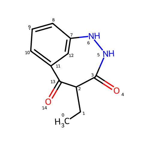 CCC1C(=O)NNc2c[c]cc(c2)C1=O